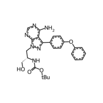 CC(C)(C)OC(=O)N[C@H](CO)Cn1nc(-c2ccc(Oc3ccccc3)cc2)c2c(N)ncnc21